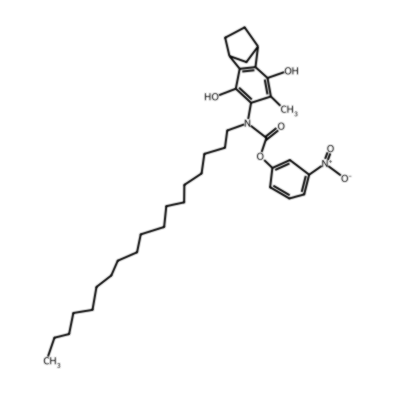 CCCCCCCCCCCCCCCCCCN(C(=O)Oc1cccc([N+](=O)[O-])c1)c1c(C)c(O)c2c(c1O)C1CCC2C1